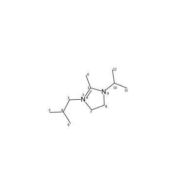 CC1=[N+](CC(C)C)CCN1C(C)C